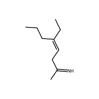 CCC/C(=C\CC(C)=N)CC